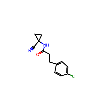 N#CC1(NC(=O)CCc2ccc(Cl)cc2)CC1